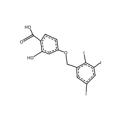 O=C(O)c1ccc(OCc2cc(I)cc(I)c2I)cc1O